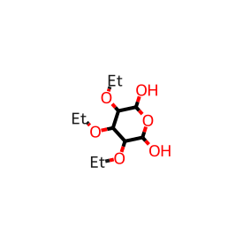 CCOC1C(O)OC(O)C(OCC)C1OCC